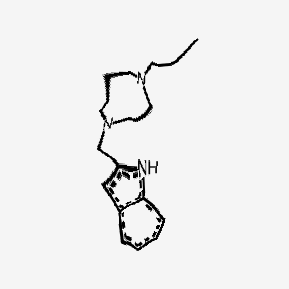 CCCN1CCN(Cc2cc3ccccc3[nH]2)CC1